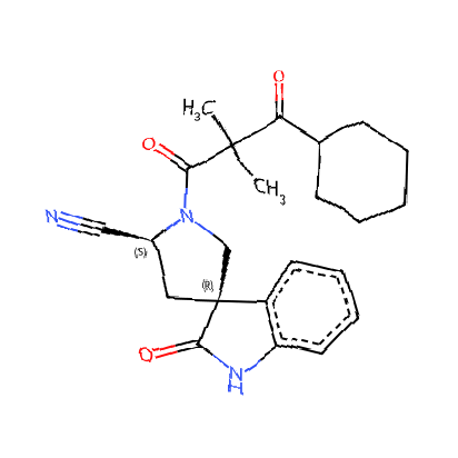 CC(C)(C(=O)C1CCCCC1)C(=O)N1C[C@]2(C[C@H]1C#N)C(=O)Nc1ccccc12